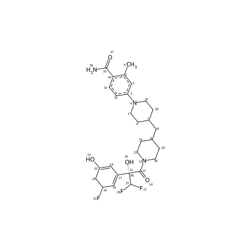 Cc1cc(N2CCC(CC3CCN(C(=O)[C@](O)(C4=CC(F)CC(O)=C4)C(F)F)CC3)CC2)ccc1C(N)=O